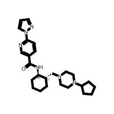 O=C(N[C@@H]1CCCC[C@H]1CN1CCN(C2CCCC2)CC1)c1ccc(-n2cccn2)nc1